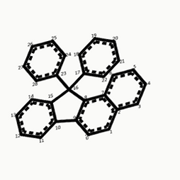 [c]1cc2ccccc2c2c1-c1ccccc1C2(c1ccccc1)c1ccccc1